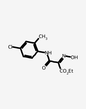 CCOC(=O)C(=NO)C(=O)Nc1ccc(Cl)cc1C